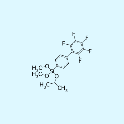 CO[Si](OC)(OC(C)C)c1ccc(-c2c(F)c(F)c(F)c(F)c2F)cc1